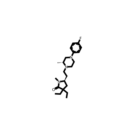 CCC1(CC)C[C@H](CCN2CCN(c3ccc(F)cc3)C[C@H]2C)N(C)C1=O